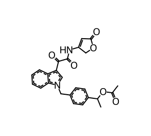 CC(=O)OC(C)c1ccc(Cn2cc(C(=O)C(=O)NC3=CC(=O)OC3)c3ccccc32)cc1